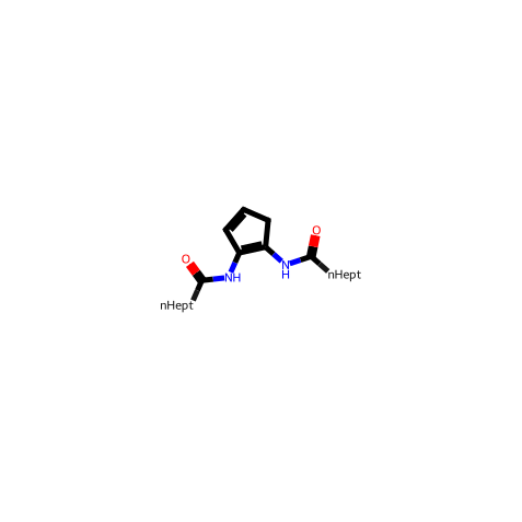 CCCCCCCC(=O)NC1=C(NC(=O)CCCCCCC)CC=C1